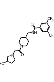 O=C(NCC1CCN(C(=O)CN2CCC(O)C2)CC1)c1cc(C(F)(F)F)cc(C(F)(F)F)c1